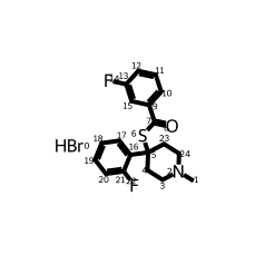 Br.CN1CCC(SC(=O)c2cccc(F)c2)(c2ccccc2F)CC1